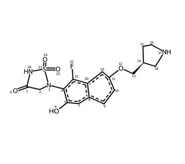 O=C1CN(c2c(O)cc3ccc(OC[C@H]4CCNC4)cc3c2F)S(=O)(=O)N1